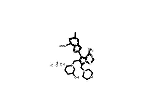 COc1cc(C)cc2cc(-c3c(CN4CCCC(O)C4)c(CN4CCNCC4)n4ncnc(N)c34)sc12.Cl.Cl.Cl